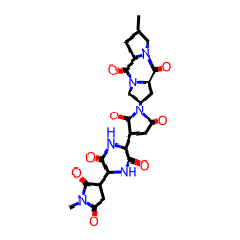 CC1CC2C(=O)N3CC(N4C(=O)CC(C5NC(=O)C(C6CC(=O)N(C)C6=O)NC5=O)C4=O)CC3C(=O)N2C1